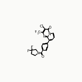 O=C(c1ccc(-c2cccn3c(=O)c(Cl)c(C(F)(F)F)nc23)cc1)N1CCC(F)(F)C1